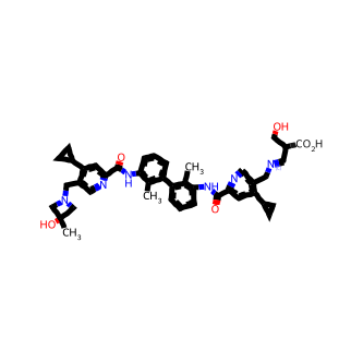 Cc1c(NC(=O)c2cc(C3CC3)c(C/N=C/C(CO)C(=O)O)cn2)cccc1-c1cccc(NC(=O)c2cc(C3CC3)c(CN3CC(C)(O)C3)cn2)c1C